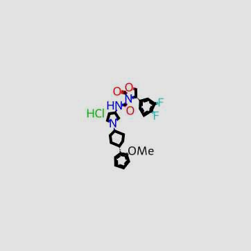 COc1ccccc1[C@H]1CC[C@@H](N2CC[C@@H](NC(=O)N3C(=O)OC[C@@H]3c3ccc(F)c(F)c3)C2)CC1.Cl